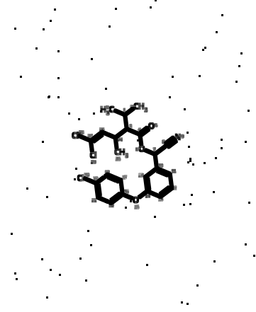 CC(C)C(C(=O)OC(C#N)c1cccc(Oc2ccc(Cl)cc2)c1)C(C)C=C(Cl)Cl